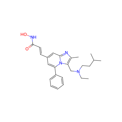 CCN(CCC(C)C)Cc1c(C)nc2cc(C=CC(=O)NO)cc(-c3ccccc3)n12